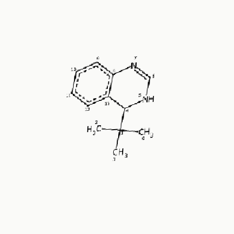 CC(C)(C)C1NC=Nc2ccccc21